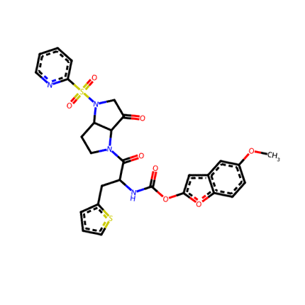 COc1ccc2oc(OC(=O)NC(Cc3cccs3)C(=O)N3CCC4C3C(=O)CN4S(=O)(=O)c3ccccn3)cc2c1